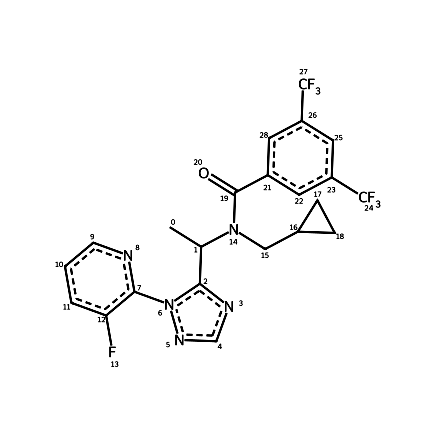 CC(c1ncnn1-c1ncccc1F)N(CC1CC1)C(=O)c1cc(C(F)(F)F)cc(C(F)(F)F)c1